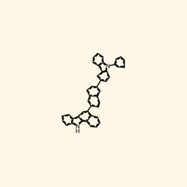 c1ccc(-n2c3ccccc3c3cc(-c4ccc5cc(-c6cc7c8ccccc8[nH]c7c7ccccc67)ccc5c4)ccc32)cc1